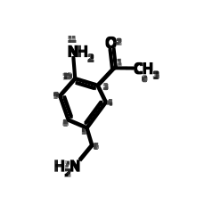 CC(=O)c1cc(CN)ccc1N